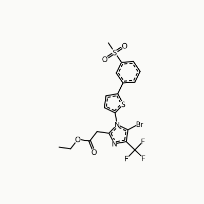 CCOC(=O)Cc1nc(C(F)(F)F)c(Br)n1-c1ccc(-c2cccc(S(C)(=O)=O)c2)s1